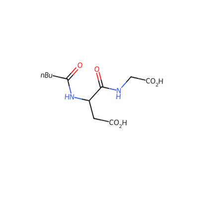 CCCCC(=O)NC(CC(=O)O)C(=O)NCC(=O)O